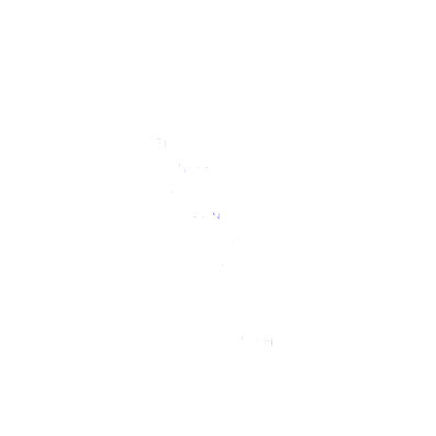 CCN1CCN(C(=O)CCCC(=O)O)CC1